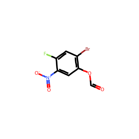 O=COc1cc([N+](=O)[O-])c(F)cc1Br